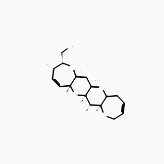 OC[C@H]1O[C@H]2C[C@H]3O[C@H]4CC=CCO[C@@H]4[C@@H](O)[C@@H]3O[C@@H]2C=C[C@@H]1O